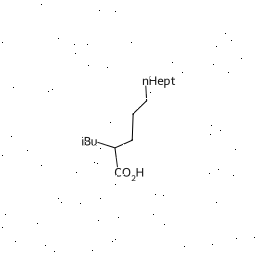 CCCCCCCCCCC(C(=O)O)C(C)CC